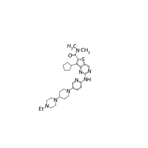 CCN1CCN(C2CCN(c3ccc(Nc4ncc5sc(C(=O)N(C)C)c(C6CCCC6)c5n4)nc3)CC2)CC1